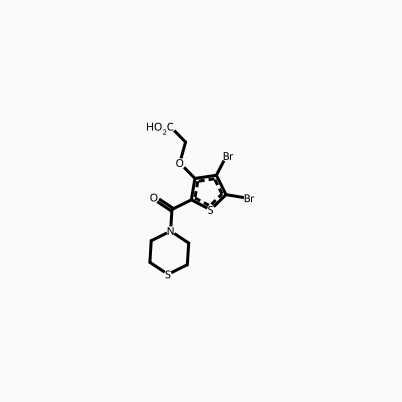 O=C(O)COc1c(C(=O)N2CCSCC2)sc(Br)c1Br